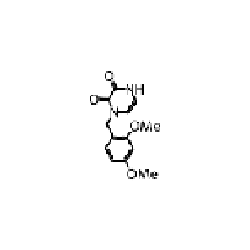 COc1ccc(Cn2cc[nH]c(=O)c2=O)c(OC)c1